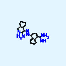 N=C(N)c1ccc(/N=N/c2c(N)ncc3ccccc23)c2ccccc12